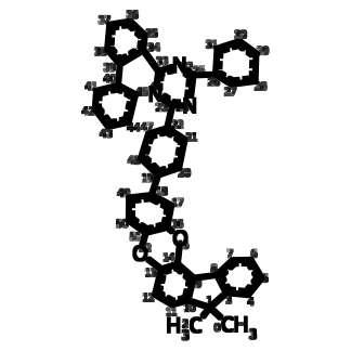 CC1(C)c2ccccc2-c2c1ccc1c2Oc2cc(-c3ccc(-c4nc(-c5ccccc5)nc(-c5ccccc5-c5ccccc5)n4)cc3)ccc2O1